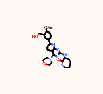 COc1ccc(-c2ccc3c(N4CCOCC4)nc(NC4CCCCNC4=O)nc3n2)cc1CO